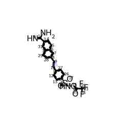 N=C(N)c1ccc2cc(/C=C/c3ccc(S(=O)(=O)NOC(=O)C(F)(F)F)cc3)ccc2c1